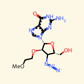 COCCO[C@@H]1C(N=[N+]=[N-])[C@@H](CO)O[C@H]1n1cnc2c(=O)[nH]c(N)nc21